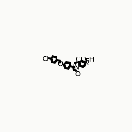 O=C(O)CC[C@@]1(c2ccc(OCc3ccc(Cl)cc3)cc2)CC(=O)N1c1ccc(F)cc1